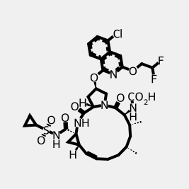 C[C@@H]1CC/C=C\[C@@H]2C[C@@]2(C(=O)NS(=O)(=O)C2CC2)NC(=O)[C@@H]2C[C@@H](Oc3nc(OCC(F)F)cc4c(Cl)cccc34)CN2C(=O)[C@@H](NC(=O)O)[C@H](C)C1